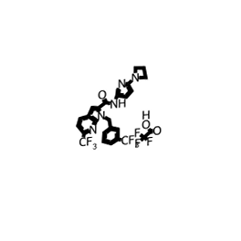 O=C(Nc1ccc(N2CCC2)nc1)c1cc2ccc(C(F)(F)F)nc2n1Cc1cccc(C(F)(F)F)c1.O=C(O)C(F)(F)F